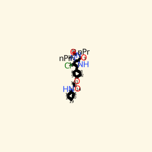 CCCn1c(=O)c2[nH]c(-c3ccc(OCC(=O)Nc4ccccc4)cc3)c(Cl)c2n(CCC)c1=O